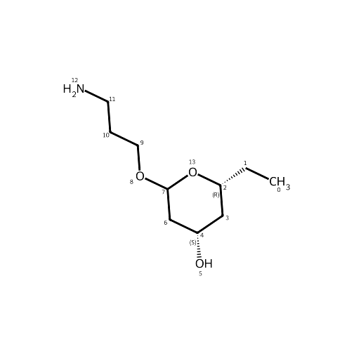 CC[C@@H]1C[C@H](O)CC(OCCCN)O1